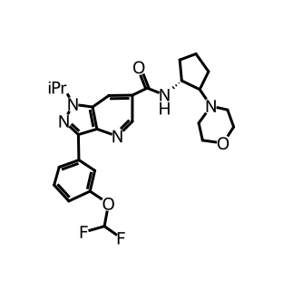 CC(C)n1nc(-c2cccc(OC(F)F)c2)c2ncc(C(=O)N[C@@H]3CCCC3N3CCOCC3)cc21